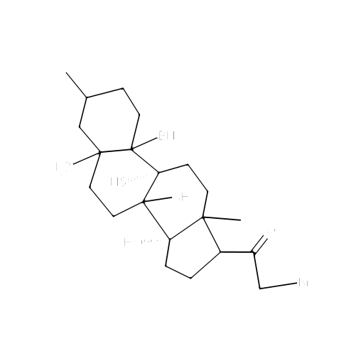 BC12CCC3(S)[C@]4(S)CCC(C(=O)CBr)C4(C)CC[C@]3(S)C1(B)CCC(C)C2